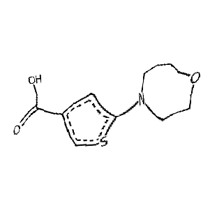 O=C(O)c1csc(N2CCOCC2)c1